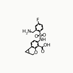 NCc1cc(F)ccc1S(=O)(=O)Nc1ccc2c(c1C(=O)O)OCC1CC21